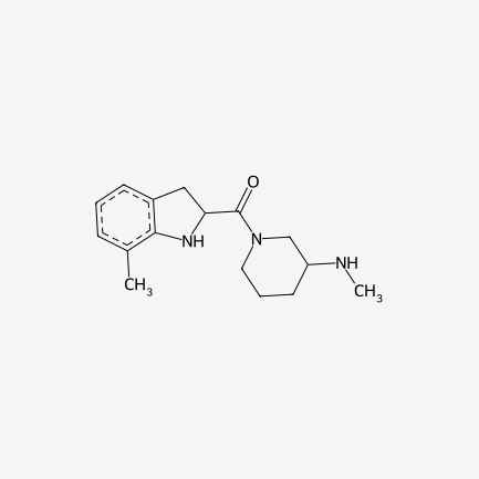 CNC1CCCN(C(=O)C2Cc3cccc(C)c3N2)C1